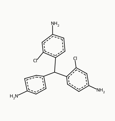 Nc1ccc(C(c2ccc(N)cc2Cl)c2ccc(N)cc2Cl)cc1